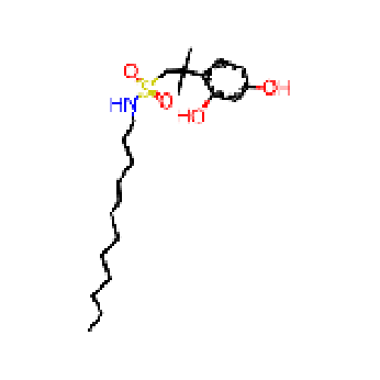 CCCCCCCCCCCCNS(=O)(=O)CC(C)(C)c1ccc(O)cc1O